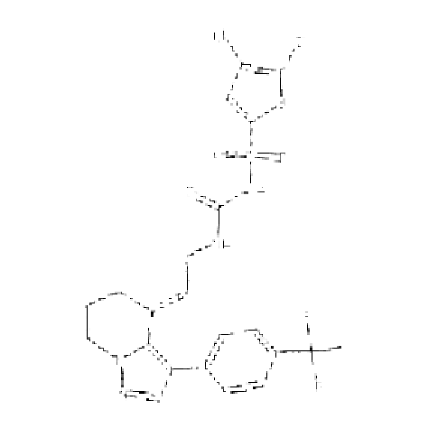 O=C(NCC=C1CCCn2nnc(-c3ccc(C(F)(F)F)cc3)c21)NS(=O)(=O)c1cc(Cl)c(Cl)s1